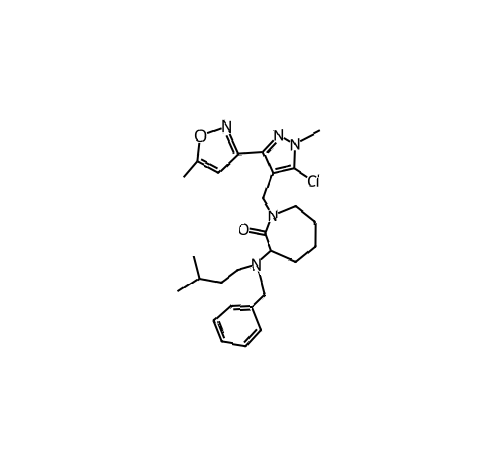 Cc1cc(-c2nn(C)c(Cl)c2CN2CCCCC(N(CCC(C)C)Cc3ccccc3)C2=O)no1